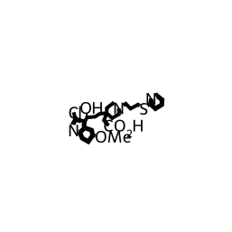 COc1ccc2ncc(Cl)c([C@@H](O)CCC3(CC(=O)O)CCN(CCCSc4ccccn4)CC3)c2c1